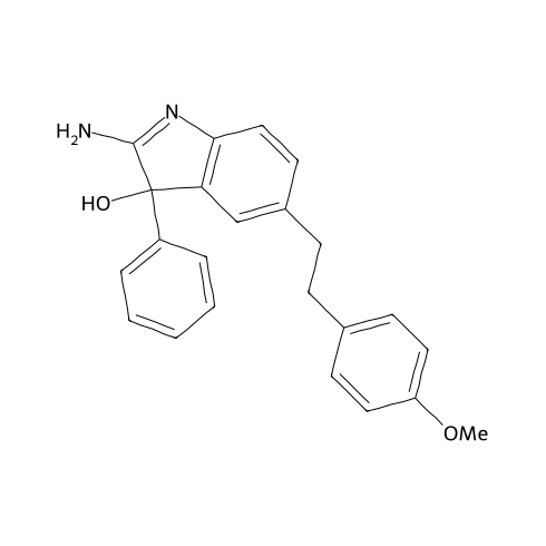 COc1ccc(CCc2ccc3c(c2)C(O)(c2ccccc2)C(N)=N3)cc1